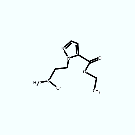 CCOC(=O)c1ccnn1CC[S+](C)[O-]